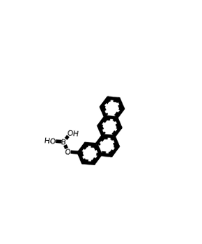 OB(O)Oc1ccc2ccc3cc4ccccc4cc3c2c1